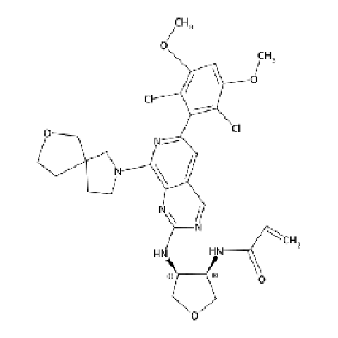 C=CC(=O)N[C@H]1COC[C@H]1Nc1ncc2cc(-c3c(Cl)c(OC)cc(OC)c3Cl)nc(N3CCC4(CCOC4)C3)c2n1